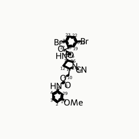 COc1cccc(NC(=O)OC[C@H]2C[C@@H](NS(=O)(=O)c3cc(Br)ccc3Br)CN2C#N)c1